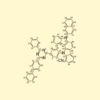 N#Cc1cc(-c2nc(-c3ccccc3)nc(-c3ccc(-c4ccccc4)cc3)n2)ccc1-n1c2ccccc2c2ccc3c(c4ccccc4n3-c3ccc4ccccc4c3)c21